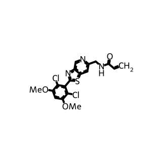 C=CC(=O)NCc1cc2sc(-c3c(Cl)c(OC)cc(OC)c3Cl)nc2cn1